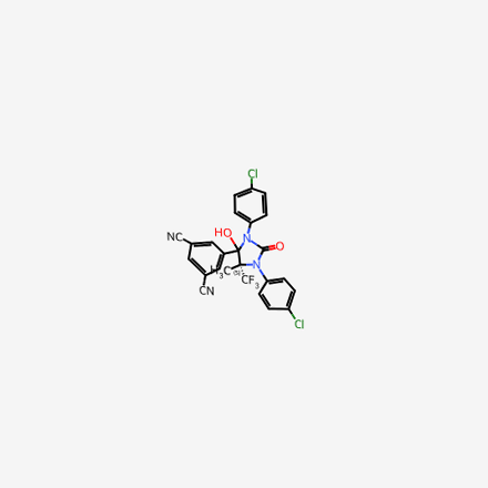 C[C@]1(C(F)(F)F)N(c2ccc(Cl)cc2)C(=O)N(c2ccc(Cl)cc2)C1(O)c1cc(C#N)cc(C#N)c1